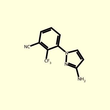 N#Cc1cccc(-n2ccc(N)n2)c1C(F)(F)F